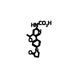 CC1Oc2cc(N3CCCC3=O)ccc2-c2cnc(NC(=O)O)cc21